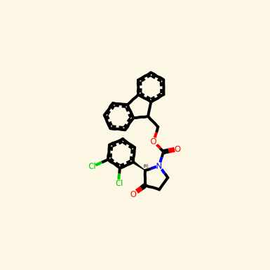 O=C1CCN(C(=O)OCC2c3ccccc3-c3ccccc32)[C@@H]1c1cccc(Cl)c1Cl